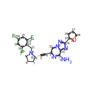 Nc1nc(C#C[C@@H]2CCCN2Cc2c(F)cc(F)cc2F)cn2nc(-c3ccco3)nc12